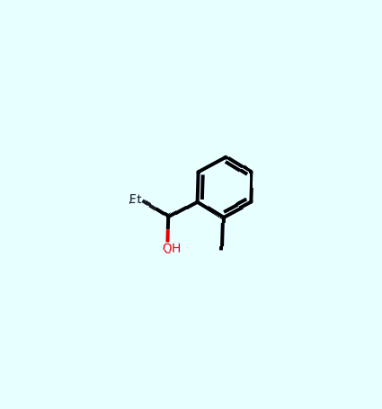 CCC(O)c1ccccc1C